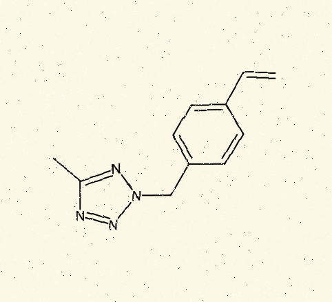 C=Cc1ccc(Cn2nnc(C)n2)cc1